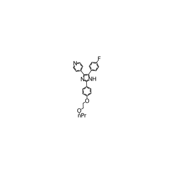 CCCOCCOc1ccc(-c2nc(-c3ccncc3)c(-c3ccc(F)cc3)[nH]2)cc1